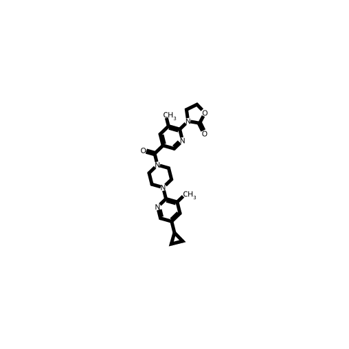 Cc1cc(C2CC2)cnc1N1CCN(C(=O)c2cnc(N3CCOC3=O)c(C)c2)CC1